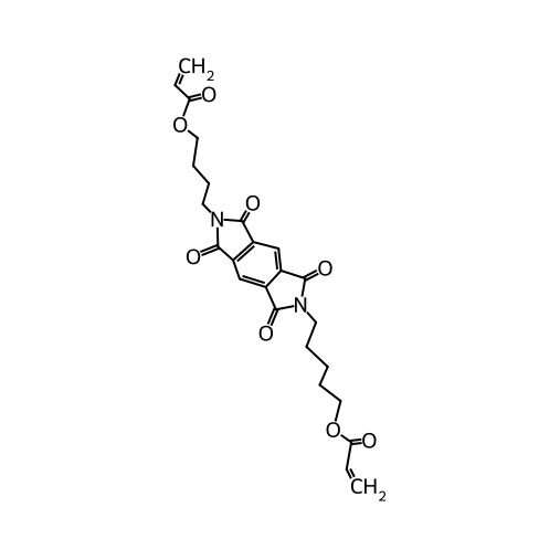 C=CC(=O)OCCCCCn1c(=O)c2cc3c(=O)n(CCCCOC(=O)C=C)c(=O)c3cc2c1=O